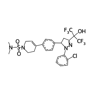 CN(C)S(=O)(=O)N1CC=C(c2ccc(C3CC(C(O)(C(F)(F)F)C(F)(F)F)=NN3c3ccccc3Cl)cc2)CC1